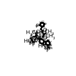 CC(C)[C@H](NC(=O)Cc1ccccc1F)C(=O)N[C@]1(C(=O)N[C@H](C2=NC(O)(C(F)(F)F)CS2)C(C)C)CCc2[nH]c3c(C(F)(F)F)cccc3c2C1